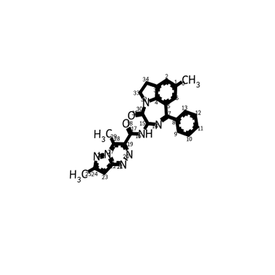 Cc1cc2c3c(c1)C(c1ccccc1)=NC(NC(=O)c1nnc4cc(C)nn4c1C)C(=O)N3CC2